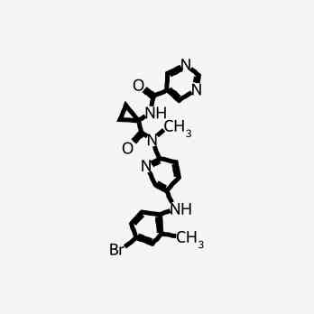 Cc1cc(Br)ccc1Nc1ccc(N(C)C(=O)C2(NC(=O)c3cncnc3)CC2)nc1